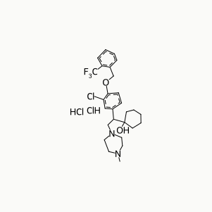 CN1CCN(CC(c2ccc(OCc3ccccc3C(F)(F)F)c(Cl)c2)C2(O)CCCCC2)CC1.Cl.Cl